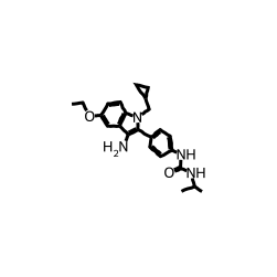 CCOc1ccc2c(c1)c(N)c(-c1ccc(NC(=O)NC(C)C)cc1)n2CC1CC1